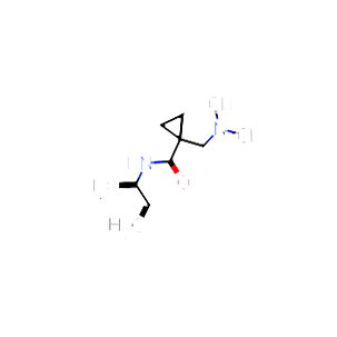 C=CC(=C)NC(=O)C1(CN(C)C)CC1